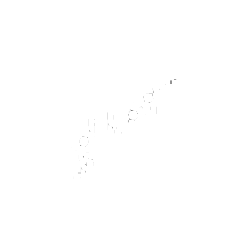 CC(C)(c1ccc(OCC(=O)NCCCNc2ccc3c(c2)C(=O)N(C2CCC(=O)NC2=O)C3=O)cc1)c1ccc(OCC(O)CCl)cc1